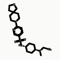 CN(CC(C)(C)C)[C@H]1CC[C@H](NS(=O)(=O)c2ccc(N3CCC4(CCOC4)CC3)nc2)CC1